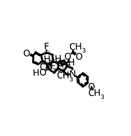 COc1ccc(N2C[C@@H]3C[C@H]4[C@@H]5C[C@H](F)C6=CC(=O)C=C[C@]6(C)[C@@]5(F)[C@@H](O)C[C@]4(C)[C@]3(C(=O)COC(C)=O)C2)cc1